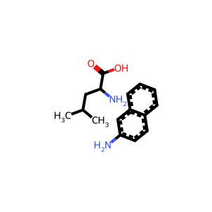 CC(C)CC(N)C(=O)O.Nc1ccc2ccccc2c1